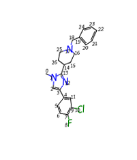 Cn1cc(-c2ccc(F)c(Cl)c2)nc1C1CCN(Cc2ccccc2)CC1